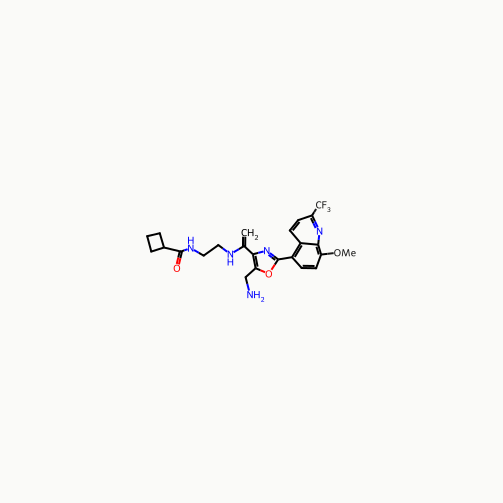 C=C(NCCNC(=O)C1CCC1)c1nc(-c2ccc(OC)c3nc(C(F)(F)F)ccc23)oc1CN